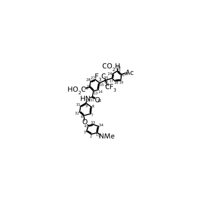 CNc1ccc(Oc2ccc(NC(=O)c3cc(C(c4ccc(C(C)=O)c(C(=O)O)c4)(C(F)(F)F)C(F)(F)F)ccc3C(=O)O)cc2)cc1